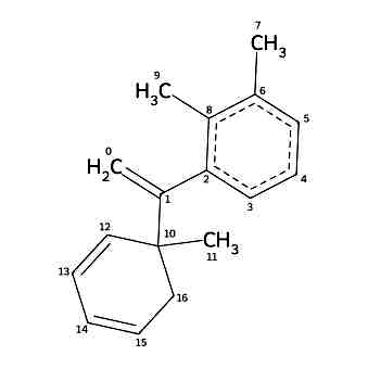 C=C(c1cccc(C)c1C)C1(C)C=CC=CC1